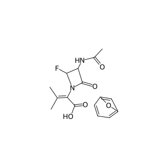 CC(=O)NC1C(=O)N(C(C(=O)O)=C(C)C)C1F.c1cc2cc(c1)O2